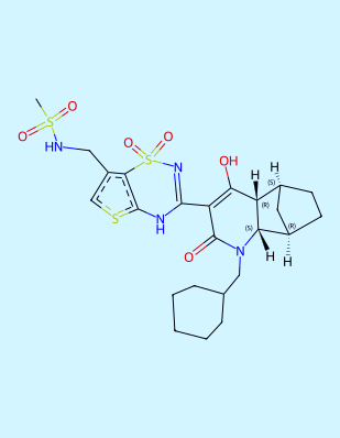 CS(=O)(=O)NCc1csc2c1S(=O)(=O)N=C(C1=C(O)[C@@H]3[C@H]4CC[C@H](C4)[C@@H]3N(CC3CCCCC3)C1=O)N2